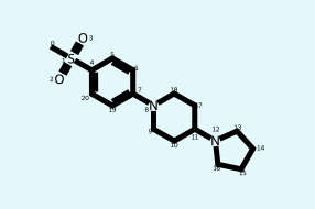 CS(=O)(=O)c1ccc(N2CCC(N3CCCC3)CC2)cc1